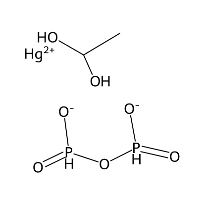 CC(O)O.O=[PH]([O-])O[PH](=O)[O-].[Hg+2]